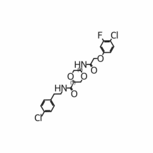 O=C(COc1ccc(Cl)c(F)c1)N[C@H]1CO[C@H](C(=O)NCCc2ccc(Cl)cc2)CO1